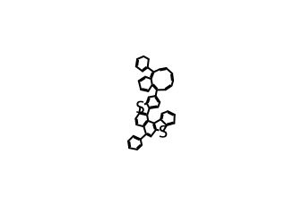 C1=CCCC(c2ccccccc(-c3ccc4c(c3)sc3ccc5c(-c6ccccc6)cc6sc7ccccc7c6c5c34)c3ccccc23)=C1